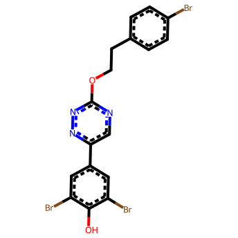 Oc1c(Br)cc(-c2cnc(OCCc3ccc(Br)cc3)nn2)cc1Br